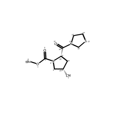 CC(C)(C)OC(=O)N1C[C@@H](C#N)C[C@H]1C(=O)N1CCSC1